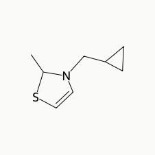 CC1SC=CN1CC1CC1